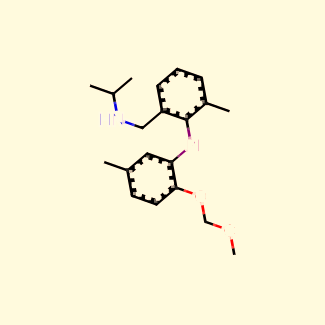 COCOc1ccc(C)cc1Pc1c(C)cccc1CNC(C)C